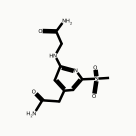 CS(=O)(=O)c1cc(CC(N)=O)cc(NCC(N)=O)n1